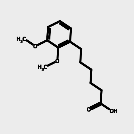 COc1cccc(CCCCCC(=O)O)c1OC